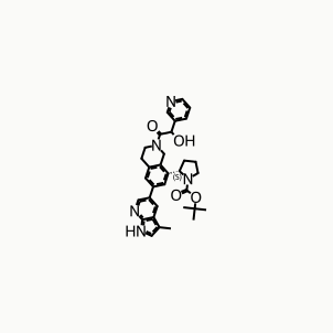 Cc1c[nH]c2ncc(-c3cc4c(c([C@@H]5CCCN5C(=O)OC(C)(C)C)c3)CN(C(=O)C(O)c3cccnc3)CC4)cc12